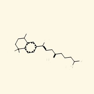 C=C(C/C=C(\C)c1ccc2c(c1)C(C(C)C)CCC2(C)C)CCCC(N)CCC